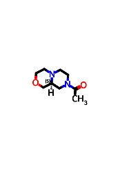 CC(=O)N1CCN2CCOC[C@@H]2C1